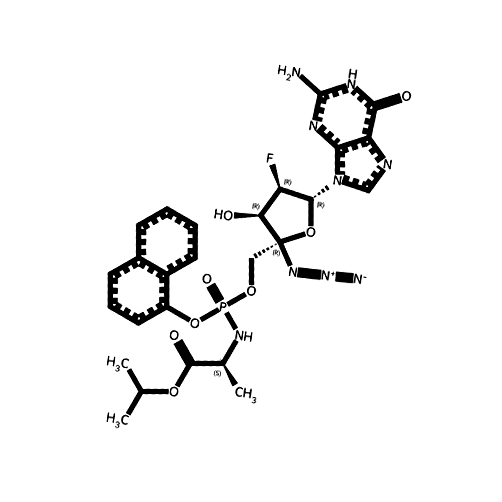 CC(C)OC(=O)[C@H](C)NP(=O)(OC[C@@]1(N=[N+]=[N-])O[C@@H](n2cnc3c(=O)[nH]c(N)nc32)[C@H](F)[C@@H]1O)Oc1cccc2ccccc12